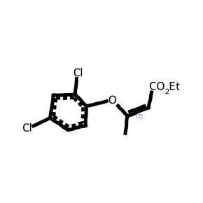 CCOC(=O)/C=C(/C)Oc1ccc(Cl)cc1Cl